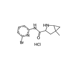 CC12CC(C(=O)Nc3cccc(Br)n3)NC1C2.Cl